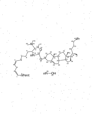 CCCCC/C=C\C/C=C\CCCCCC(C(C)OC(CCC)OC1CC[C@@]2(C)C(=CCC3C2CC[C@@]2(C)C3CC[C@@H]2[C@H](C)CCCC(C)C)C1)N(C)C.CCCO